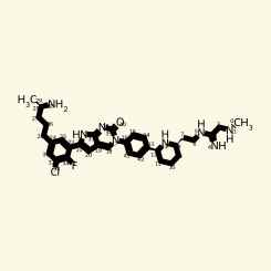 CNCC(=N)NCC[C@@H]1CCC[C@@H](c2ccc(-n3cc4cc(-c5cc(CCC[C@H](C)N)cc(Cl)c5F)[nH]c4nc3=O)cc2)N1